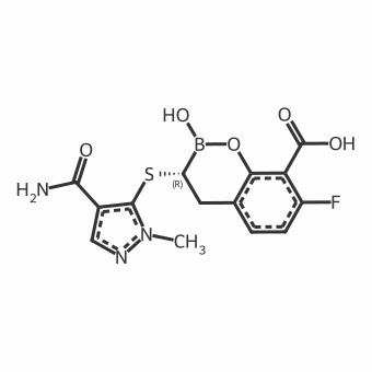 Cn1ncc(C(N)=O)c1S[C@H]1Cc2ccc(F)c(C(=O)O)c2OB1O